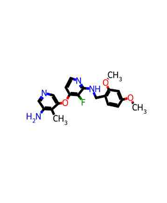 COc1ccc(CNc2nccc(Oc3cncc(N)c3C)c2F)c(OC)c1